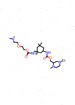 CCN1CCN(C)C(COC(=O)NC2CC(C)(C)CC(C)(CNC(=O)OCCOCCN(C)C)C2)C1